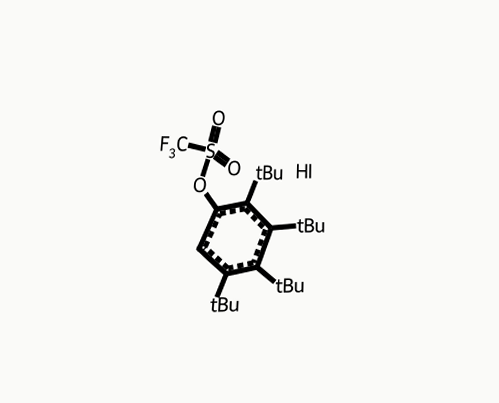 CC(C)(C)c1cc(OS(=O)(=O)C(F)(F)F)c(C(C)(C)C)c(C(C)(C)C)c1C(C)(C)C.I